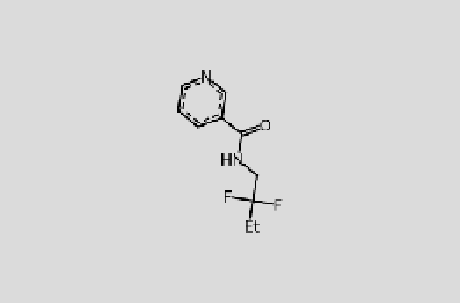 CCC(F)(F)CNC(=O)c1cccnc1